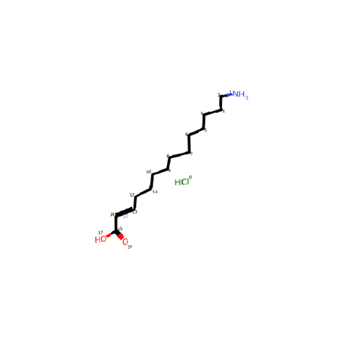 Cl.NCCCCCCCCCCC/C=C/C(=O)O